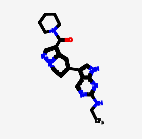 O=C(c1cnn2ccc(-c3c[nH]c4nc(NCC(F)(F)F)ncc34)cc12)N1CCCCC1